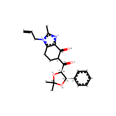 C=CCn1c(C)nc2c1CCC(C(=O)[C@@H]1OC(C)(C)O[C@H]1c1ccccc1)C2=O